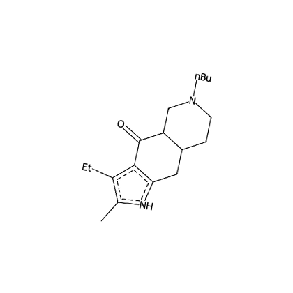 CCCCN1CCC2Cc3[nH]c(C)c(CC)c3C(=O)C2C1